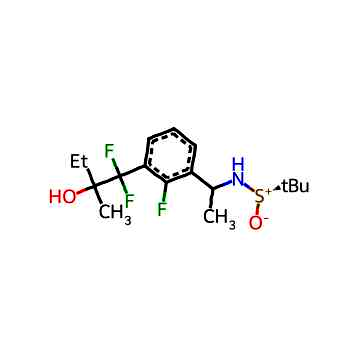 CCC(C)(O)C(F)(F)c1cccc(C(C)N[S@+]([O-])C(C)(C)C)c1F